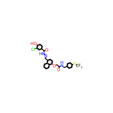 O=C(COc1ccc(C=NNC(=O)c2ccc(O)c(Cl)c2)c2ccccc12)NCc1ccc(SC(F)(F)F)cc1